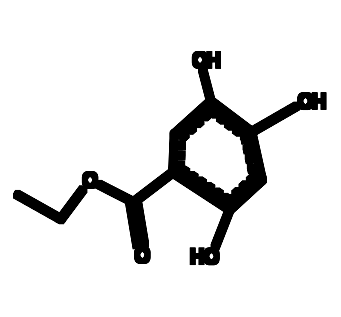 CCOC(=O)c1cc(O)c(O)cc1O